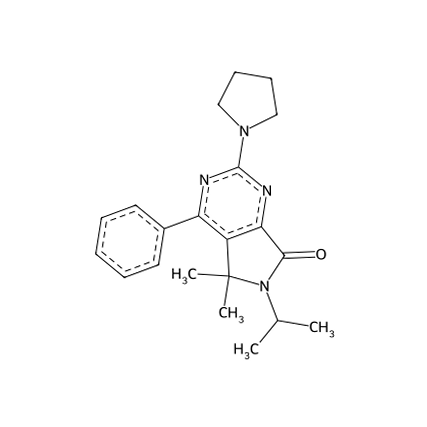 CC(C)N1C(=O)c2nc(N3CCCC3)nc(-c3ccccc3)c2C1(C)C